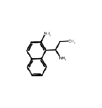 CCC(N)c1c(N)ccc2ccccc12